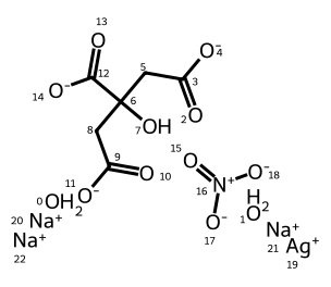 O.O.O=C([O-])CC(O)(CC(=O)[O-])C(=O)[O-].O=[N+]([O-])[O-].[Ag+].[Na+].[Na+].[Na+]